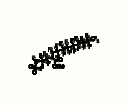 COC(=O)C(=C(F)C(F)(F)C(F)(F)C(F)(F)C(F)(F)C(F)(F)C(F)(F)C(F)(F)C(F)(F)F)C(F)(F)C(F)(F)N(C)S(=O)(=O)F